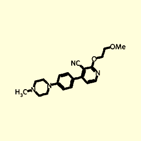 COCCOc1nccc(-c2ccc(N3CCN(C)CC3)cc2)c1C#N